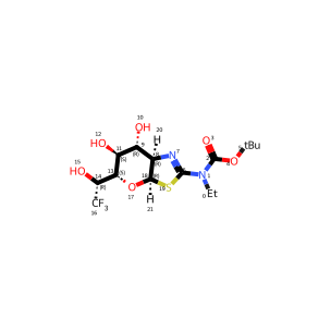 CCN(C(=O)OC(C)(C)C)C1=N[C@@H]2[C@@H](O)[C@H](O)[C@@H]([C@@H](O)C(F)(F)F)O[C@@H]2S1